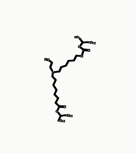 CCCCCCCCC(CCCCCCCC)OC(=O)CCCCCCCN(CCO)CCCCCCOC(=O)OC(CCC)CCCCCCCC